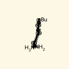 CCCCOc1ccc(OC(=O)/C=C/c2ccc(C(=O)OCCCCCCCCOC(=O)c3cc(N)cc(N)c3)cc2)cc1